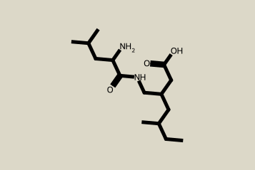 CCC(C)CC(CNC(=O)C(N)CC(C)C)CC(=O)O